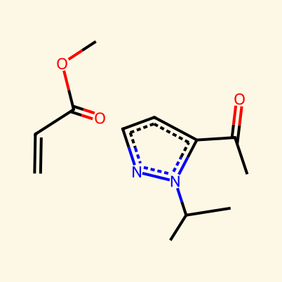 C=CC(=O)OC.CC(=O)c1ccnn1C(C)C